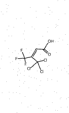 O=C(O)C=C(C(F)(F)F)C(Cl)(Cl)Cl